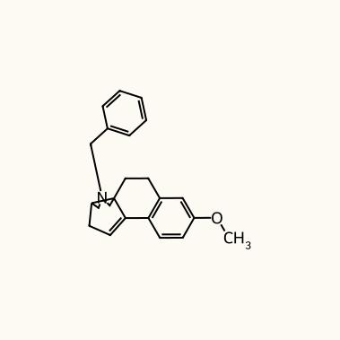 COc1ccc2c(c1)CCC13CN(Cc4ccccc4)CC1CC=C23